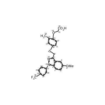 COc1ccc2c(c1)c(CSc1ccc(OCC(=O)O)c(C)c1)nn2-c1ccc(C(F)(F)F)cc1